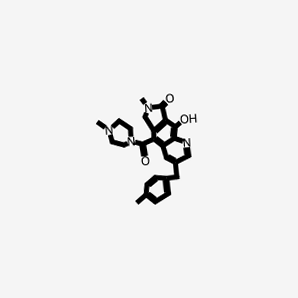 Cc1ccc(Cc2cnc3c(O)c4c(c(C(=O)N5CCN(C)CC5)c3c2)CN(C)C4=O)cc1